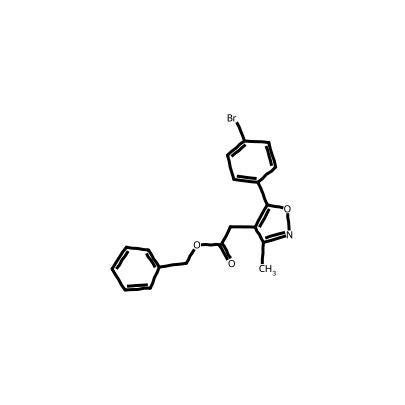 Cc1noc(-c2ccc(Br)cc2)c1CC(=O)OCc1ccccc1